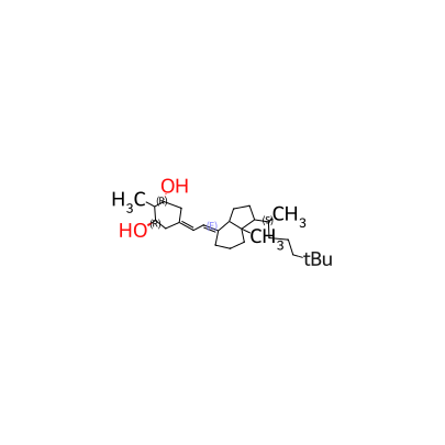 CC1[C@H](O)CC(=C/C=C2\CCCC3(C)C2CCC3[C@@H](C)CCCC(C)(C)C)C[C@H]1O